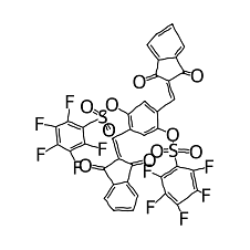 O=C1C(=Cc2cc(OS(=O)(=O)c3c(F)c(F)c(F)c(F)c3F)c(C=C3C(=O)c4ccccc4C3=O)cc2OS(=O)(=O)c2c(F)c(F)c(F)c(F)c2F)C(=O)c2ccccc21